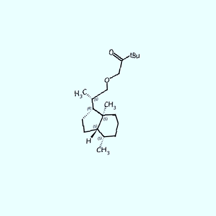 C[C@H](COCC(=O)C(C)(C)C)[C@H]1CC[C@H]2[C@@H](C)CCC[C@]12C